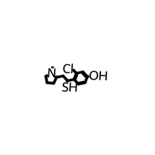 CN1CCCC1CC(S)c1ccc(O)cc1Cl